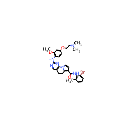 COc1cc(OCCN(C)C)ccc1Nc1ncc2c(n1)-n1ccc(C(=O)Nc3c(C)cccc3Br)c1CC2